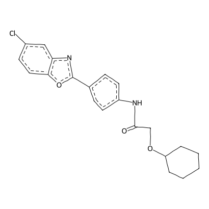 O=C(COC1CCCCC1)Nc1ccc(-c2nc3cc(Cl)ccc3o2)cc1